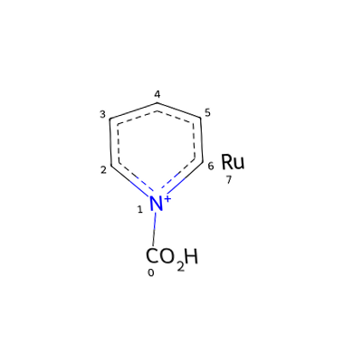 O=C(O)[n+]1ccccc1.[Ru]